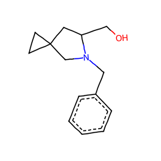 OCC1CC2(CC2)CN1Cc1ccccc1